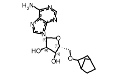 Nc1ncnc2c1ncn2[C@@H]1O[C@H](COC2CC3CCC2C3)[C@@H](O)[C@H]1O